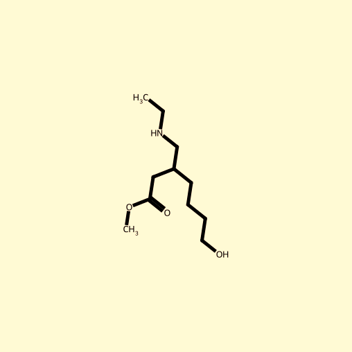 CCNCC(CCCCO)CC(=O)OC